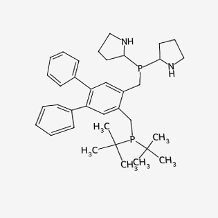 CC(C)(C)P(Cc1cc(-c2ccccc2)c(-c2ccccc2)cc1CP(C1CCCN1)C1CCCN1)C(C)(C)C